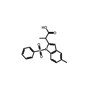 Cc1ccc2c(c1)cc(C(C)C(=O)O)n2S(=O)(=O)c1ccccc1